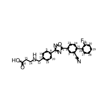 N#Cc1cc(-c2nc(-c3ccc(CNCCC(=O)O)cc3)no2)ccc1-c1ccccc1F